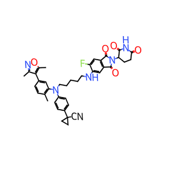 Cc1ccc(-c2c(C)noc2C)cc1N(CCCCCNc1cc2c(cc1F)C(=O)N(C1CCC(=O)NC1=O)C2=O)c1ccc(C2(C#N)CC2)cc1